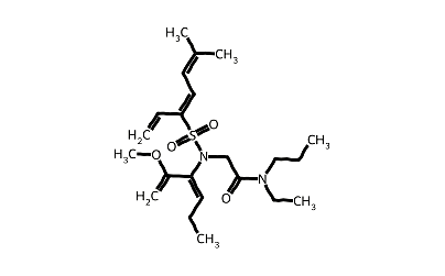 C=C/C(=C\C=C(C)C)S(=O)(=O)N(CC(=O)N(CC)CCC)/C(=C/CC)C(=C)OC